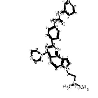 CN(C)CCn1ccc2c3nc(-c4ccc(NC(=O)Nc5cccnc5)cc4)nc(N4CCOCC4)c3ccc21